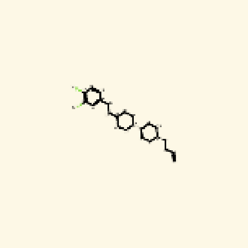 C=CCC[C@H]1CC[C@H](C2CCC(CCc3ccc(F)c(F)c3)CC2)CC1